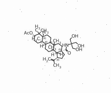 C=C(C)[C@@H]1CC[C@]2(C(=O)NC(CO)(CO)CO)CC[C@]3(C)[C@H](CC[C@@H]4[C@@]5(C)CC[C@H](OC(C)=O)C(C)(C)[C@@H]5CC[C@]43C)[C@@H]12